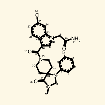 CN1CN(c2ccccc2)C2(CCN(C(=O)c3cn(CC(N)=O)c4cc(Cl)ccc34)CC2)C1=O